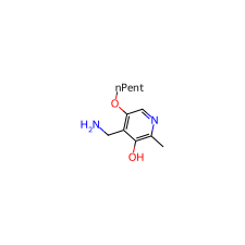 CCCCCOc1cnc(C)c(O)c1CN